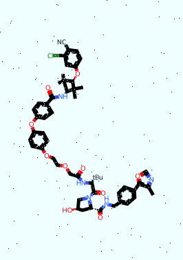 Cc1ncoc1-c1ccc(CNC(=O)[C@@H]2C[C@@H](O)CN2C(=O)[C@@H](NC(=O)COCCOc2ccc(Oc3ccc(C(=O)N[C@H]4C(C)(C)[C@H](Oc5ccc(C#N)c(Cl)c5)C4(C)C)cc3)cc2)C(C)(C)C)cc1